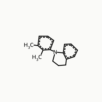 Cc1cccc(N2CCCc3ccccc32)c1C